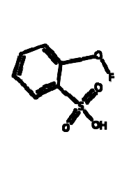 O=S(=O)(O)c1ccccc1OF